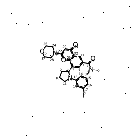 CN(C)C(=O)c1cc([C@@H]2CCCN2c2cccc(F)c2)c2oc(N3CCOCC3)cc(=O)c2c1